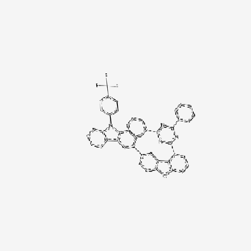 FC(F)(F)c1ccc(-n2c3ccccc3c3cc(-c4ccc5oc6cccc(-c7nc(-c8ccccc8)nc(-c8ccccc8)n7)c6c5c4)ccc32)cc1